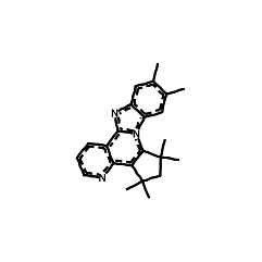 Cc1cc2nc3c4cccnc4c4c(n3c2cc1C)C(C)(C)CC4(C)C